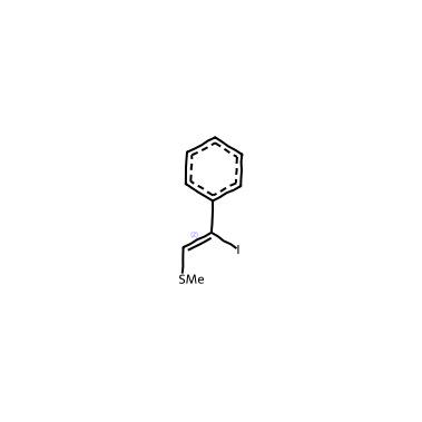 CS/C=C(\I)c1ccccc1